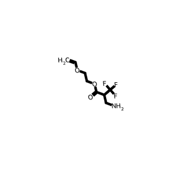 C=COCCOC(=O)C(CN)C(F)(F)F